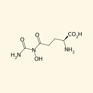 NC(=O)N(O)C(=O)CC[C@H](N)C(=O)O